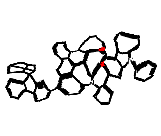 c1ccc(-n2c3ccccc3c3ccc(-c4ccccc4N(c4ccc(-c5ccc6c(c5)C5(c7ccccc7-6)C6CC7CC6CC75)cc4)c4ccccc4-c4cccc5cccc(C6CCCCC6)c45)cc32)cc1